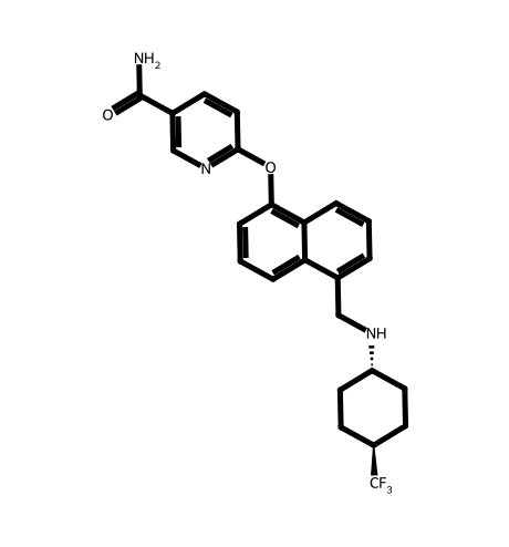 NC(=O)c1ccc(Oc2cccc3c(CN[C@H]4CC[C@H](C(F)(F)F)CC4)cccc23)nc1